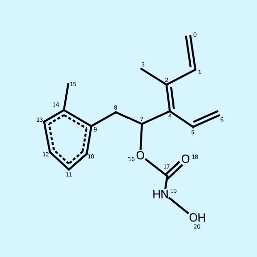 C=C/C(C)=C(\C=C)C(Cc1ccccc1C)OC(=O)NO